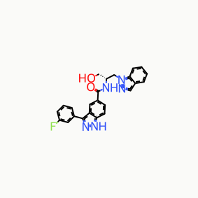 O=C(N[C@H](CO)Cn1ncc2ccccc21)c1ccc2[nH]nc(-c3cccc(F)c3)c2c1